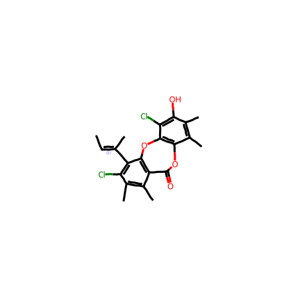 C/C=C(\C)c1c(Cl)c(C)c(C)c2c1Oc1c(Cl)c(O)c(C)c(C)c1OC2=O